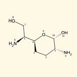 N[C@@H]1CC[C@@H]([C@@H](N)CO)O[C@@H]1O